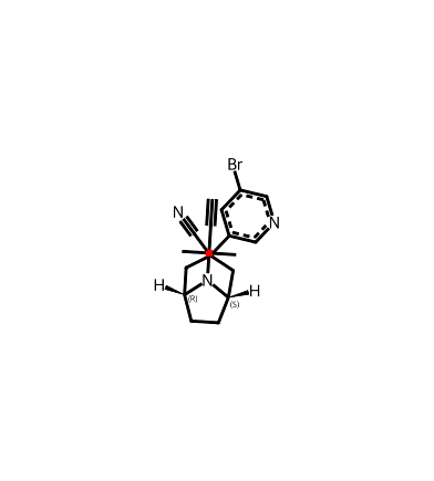 C#CC(C)(C)N1[C@@H]2CC[C@H]1CC(C#N)(c1cncc(Br)c1)C2